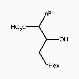 CCCCCCCC(O)C(CCC)C(=O)O